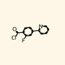 O=C(Cl)c1ccc(-c2ccccn2)cc1F